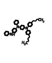 CCCCc1ccc(N(c2ccc(CCCC)cc2)c2ccc(N(c3ccccc3)c3ccc(Nc4ccccc4)cc3)cc2)cc1